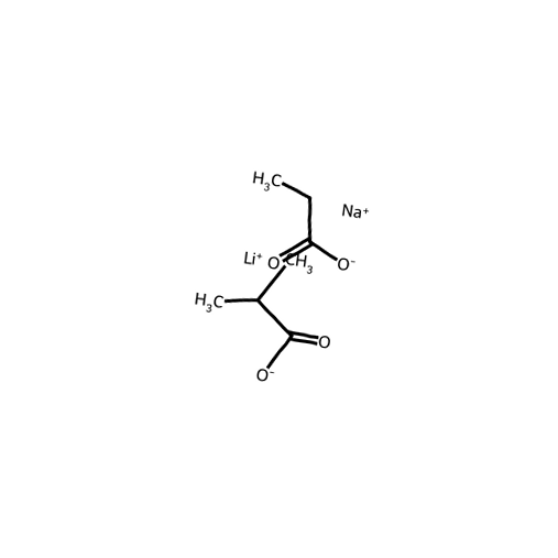 CC(C)C(=O)[O-].CCC(=O)[O-].[Li+].[Na+]